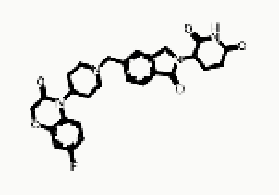 O=C1CCC(N2Cc3cc(CN4CCC(N5C(=O)COc6cc(F)ccc65)CC4)ccc3C2=O)C(=O)N1